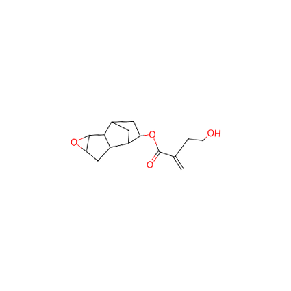 C=C(CCO)C(=O)OC1CC2CC1C1CC3OC3C21